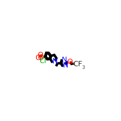 CC(c1cnc(OCC(F)(F)F)nc1)N1CCc2ccc(S(=O)(=O)Cl)cc2C1